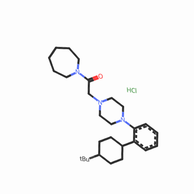 CC(C)(C)C1CCC(c2ccccc2N2CCN(CC(=O)N3CCCCCC3)CC2)CC1.Cl